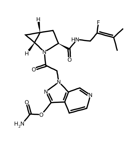 CC(C)=C(F)CNC(=O)[C@@H]1C[C@H]2C[C@H]2N1C(=O)Cn1nc(OC(N)=O)c2ccncc21